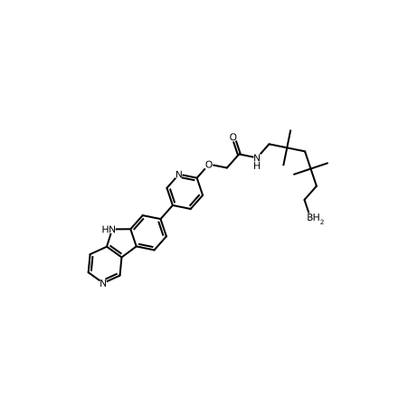 BCCC(C)(C)CC(C)(C)CNC(=O)COc1ccc(-c2ccc3c(c2)[nH]c2ccncc23)cn1